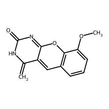 C=c1[nH]c(=O)nc2c1=Cc1cccc(OC)c1O2